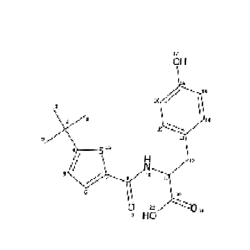 CC(C)(C)c1ccc(C(=O)NC(Cc2ccc(O)cc2)C(=O)O)s1